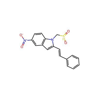 O=[N+]([O-])c1ccc2c(c1)cc(C=Cc1ccccc1)n2C[SH](=O)=O